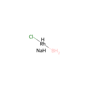 [BH2][RhH][Cl].[NaH]